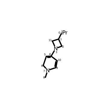 CC(C)C1CN(C2=CCN(C)C=C2)C1